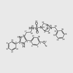 COc1ccc(-c2[nH]c(-c3ccccc3)nc2CCNS(=O)(=O)N2CC3CC2CN3Cc2ccccc2)cc1